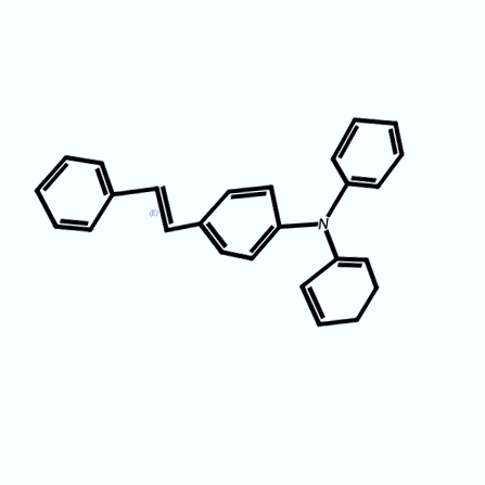 C1=CC(N(c2ccccc2)c2ccc(/C=C/c3ccccc3)cc2)=CCC1